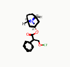 CN1[C@@H]2CC[C@H]1C[C@@H](OC(=O)C(COCl)c1ccccc1)C2